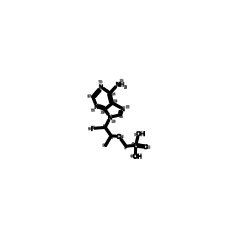 CC(OCP(=O)(O)O)C(F)n1cnc2c(N)ncnc21